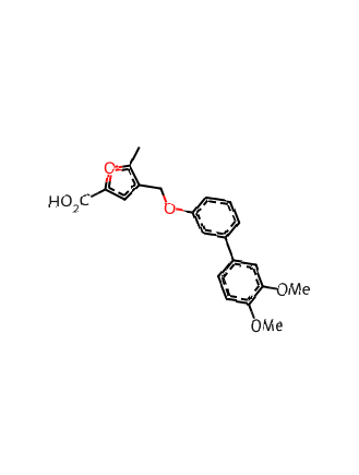 COc1ccc(-c2cccc(OCc3cc(C(=O)O)oc3C)c2)cc1OC